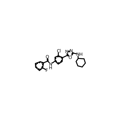 O=C(Nc1ccc(-c2nnc(NC3CCCCC3)o2)c(Cl)c1)c1ccccc1F